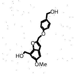 COc1cc(CO)c2oc(COc3ccc(CO)cc3)cc2c1